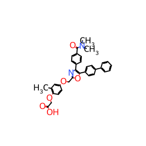 Cc1cc(OCc2nc(-c3ccc(C(=O)N(C)C)cc3)c(-c3ccc(-c4ccccc4)cc3)o2)ccc1OCC(=O)O